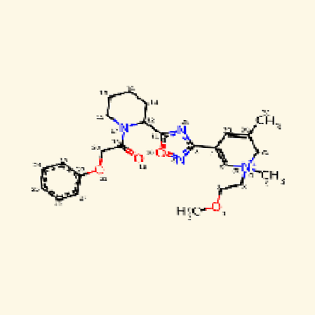 COCC[N@+]1(C)C=C(c2noc(C3CCCCN3C(=O)COc3ccccc3)n2)C=C(C)C1